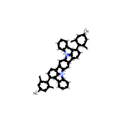 Cc1cc(C#N)cc(C)c1-c1ccc2c3cc4c(cc3n3c5ccccc5c1c23)c1ccc(-c2c(C)cc(C#N)cc2C)c2c3ccccc3n4c12